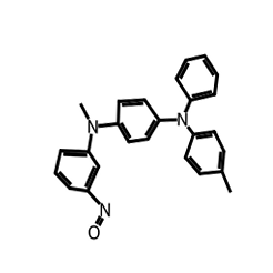 Cc1ccc(N(c2ccccc2)c2ccc(N(C)c3cccc(N=O)c3)cc2)cc1